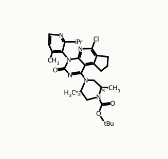 Cc1ccnc(C(C)C)c1-n1c(=O)nc(N2C[C@@H](C)N(C(=O)OC(C)(C)C)C[C@@H]2C)c2c3c(c(Cl)nc21)CCC3